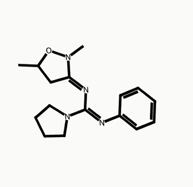 CC1CC(=NC(=Nc2ccccc2)N2CCCC2)N(C)O1